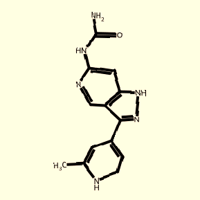 CC1=CC(c2n[nH]c3cc(NC(N)=O)ncc23)=CCN1